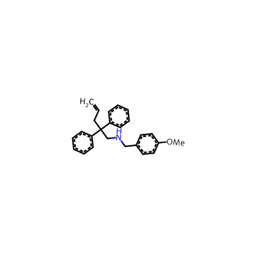 C=CCC(CNCc1ccc(OC)cc1)(c1ccccc1)c1ccccc1